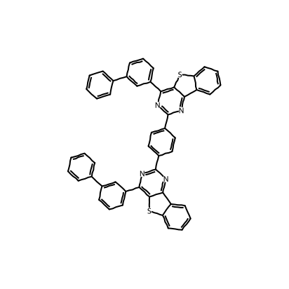 c1ccc(-c2cccc(-c3nc(-c4ccc(-c5nc(-c6cccc(-c7ccccc7)c6)c6sc7ccccc7c6n5)cc4)nc4c3sc3ccccc34)c2)cc1